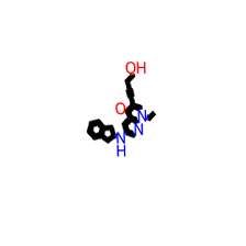 CCn1cc(C#CCCO)c(=O)c2cc(NC3Cc4ccccc4C3)cnc21